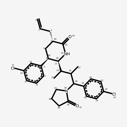 C=CC[C@H]1C[C@H](c2cccc(Cl)c2)[C@H](C(C)C(C)C(c2ccc(Cl)cc2)N2CCCC2=O)NC1=O